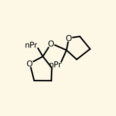 CCCC1(OC2(CCC)CCCO2)CCCO1